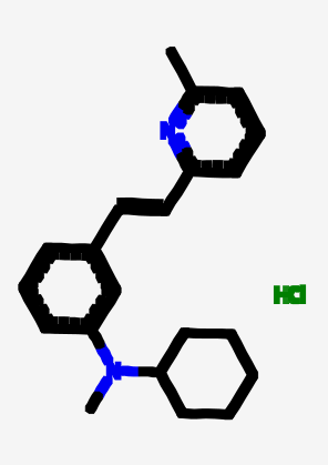 Cc1cccc(C=Cc2cccc(N(C)C3CCCCC3)c2)n1.Cl